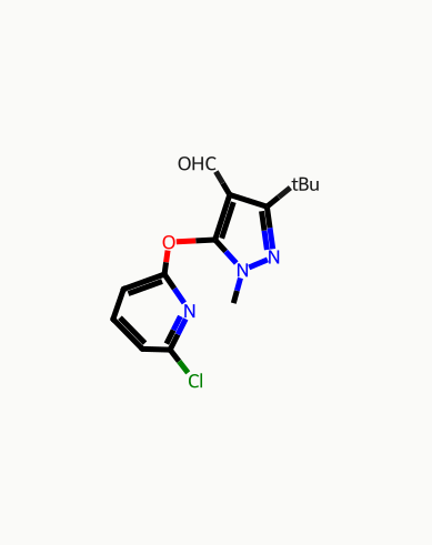 Cn1nc(C(C)(C)C)c(C=O)c1Oc1cccc(Cl)n1